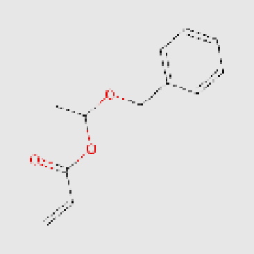 C=CC(=O)OC(C)OCc1ccccc1